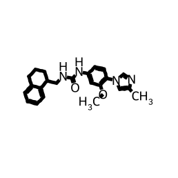 COc1cc(NC(=O)NCC2CCCc3ccccc32)ccc1-n1cnc(C)c1